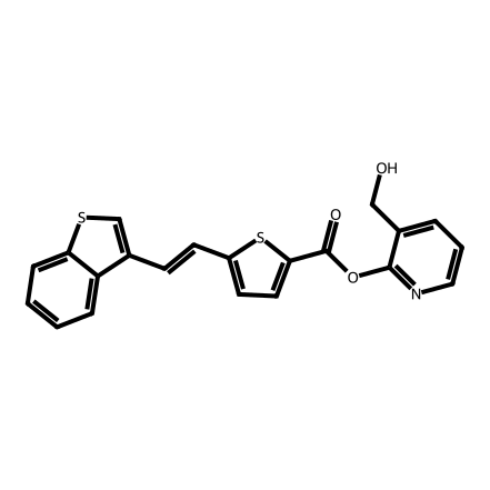 O=C(Oc1ncccc1CO)c1ccc(C=Cc2csc3ccccc23)s1